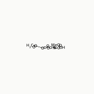 C=CC(=O)OCCCCCCOc1ccc(C(=O)Oc2ccc(/C=N/N=C/c3ccc(O)c(C(=O)OC)c3)cc2)cc1